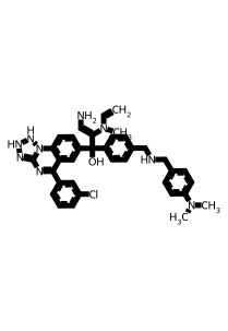 C=CN(C)/C(=C\N)C(O)(c1ccc(CNCc2ccc(N(C)C)cc2)cc1)c1ccc2c(c1)C(c1cccc(Cl)c1)=NC1=NNNN12